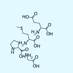 CSCC[C@H](N)C(=O)O.NCC(=O)O.N[C@@H](CCC(=O)O)C(=O)O.O=C(O)[C@@H]1CCCN1